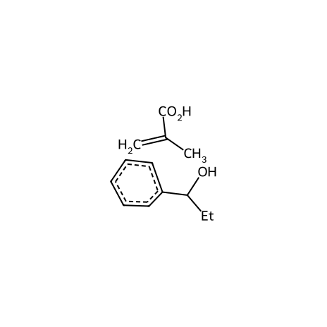 C=C(C)C(=O)O.CCC(O)c1ccccc1